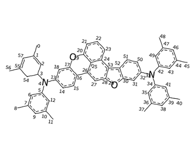 CC1=CC(N(c2cc(C)cc(C)c2)c2ccc3c(c2)Oc2cccc4c2c-3cc2oc3cc(N(c5cc(C)cc(C)c5)c5cc(C)cc(C)c5)ccc3c24)CC(C)=C1